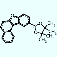 CC1(C)ON(c2ccc3oc4ccc5ccccc5c4c3c2)OC1(C)C